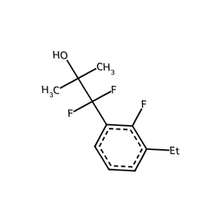 CCc1cccc(C(F)(F)C(C)(C)O)c1F